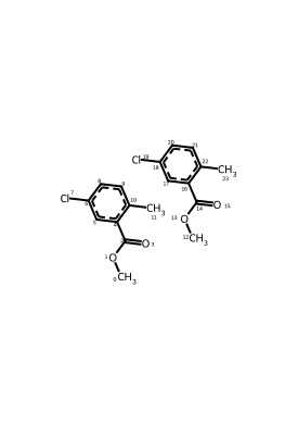 COC(=O)c1cc(Cl)ccc1C.COC(=O)c1cc(Cl)ccc1C